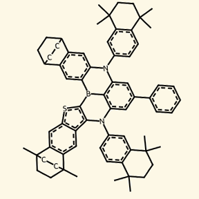 CC1(C)CCC(C)(C)c2cc(N3c4cc5c(cc4B4c6sc7cc8c(cc7c6N(c6ccc7c(c6)C(C)(C)CCC7(C)C)c6cc(-c7ccccc7)cc3c64)C3(C)CCC8(C)CC3)C3CCC5CC3)ccc21